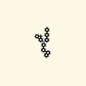 CC1(C)c2ccccc2-c2ccc(N(c3ccc(-c4cccc(-c5cccc6ccccc56)c4)cc3)c3cccc(-c4ccc(-c5ccccc5)cc4)c3)cc21